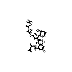 CC(NC(=O)c1cc(Cl)cc(Cl)c1NC(=O)c1cc(OC2CN(C(=O)OC(C)(C)C)C2)nn1-c1ncccc1Cl)C1CC1